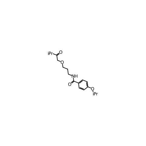 CC(C)Oc1ccc(C(=O)NCCCOCC(=O)C(C)C)cc1